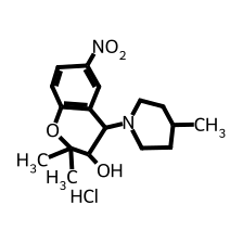 CC1CCN(C2c3cc([N+](=O)[O-])ccc3OC(C)(C)C2O)CC1.Cl